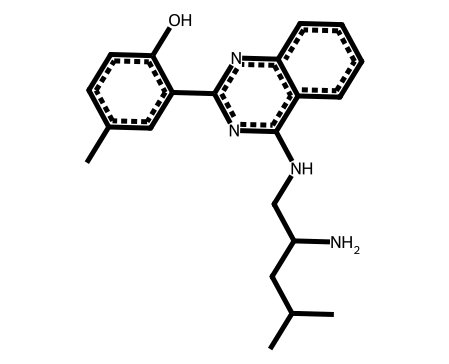 Cc1ccc(O)c(-c2nc(NCC(N)CC(C)C)c3ccccc3n2)c1